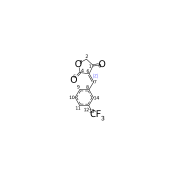 O=C1COC(=O)/C1=C\c1cccc(C(F)(F)F)c1